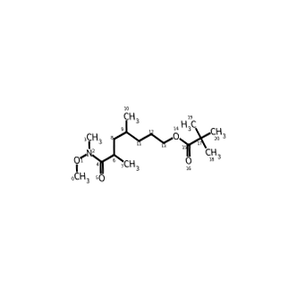 CON(C)C(=O)C(C)CC(C)CCCOC(=O)C(C)(C)C